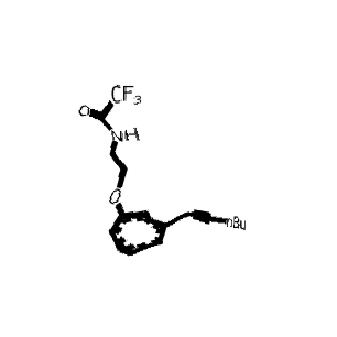 CCCCC#Cc1cccc(OCCNC(=O)C(F)(F)F)c1